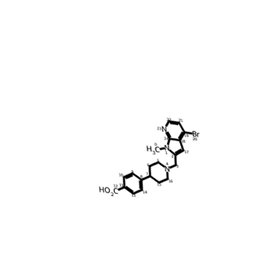 Cn1c(CN2CCC(c3ccc(C(=O)O)cc3)CC2)cc2c(Br)ccnc21